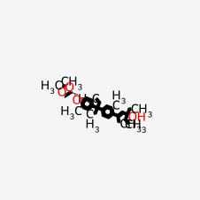 CCC(=CC(O)(CC)CC)c1ccc(C(CC)(CC)c2ccc(OC[C@@H]3COC(C)(C)O3)c(C)c2)cc1C